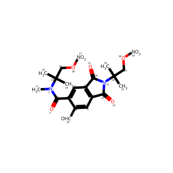 CN(C(=O)c1cc2c(cc1C=O)C(=O)N(C(C)(C)CO[N+](=O)[O-])C2=O)C(C)(C)CO[N+](=O)[O-]